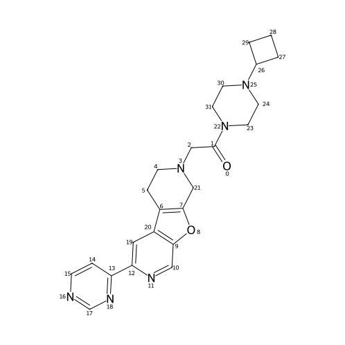 O=C(CN1CCc2c(oc3cnc(-c4ccncn4)cc23)C1)N1CCN(C2CCC2)CC1